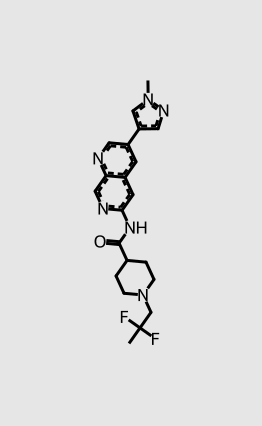 Cn1cc(-c2cnc3cnc(NC(=O)C4CCN(CC(C)(F)F)CC4)cc3c2)cn1